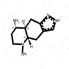 CCCN1CC[C@H](N)[C@H]2Cc3n[nH]cc3C[C@@H]21